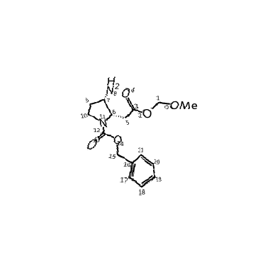 COCOC(=O)C[C@H]1[C@@H](N)CCN1C(=O)OCc1ccccc1